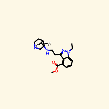 CCn1nc(CCN[C@@H]2CN3CCC2CC3)c2c(C(=O)OC)cccc21